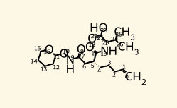 C=CCCC[C@H](CC(=O)NOC1CCCCO1)C(=O)N[C@H](C(=O)O)C(C)C